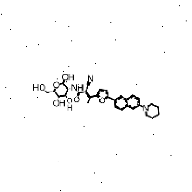 C/C(=C(/C#N)C(=O)N[C@H]1C(O)O[C@H](CO)[C@@H](O)[C@@H]1O)c1ccc(-c2ccc3cc(N4CCCCC4)ccc3c2)o1